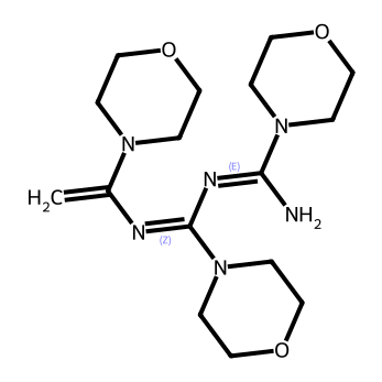 C=C(/N=C(\N=C(/N)N1CCOCC1)N1CCOCC1)N1CCOCC1